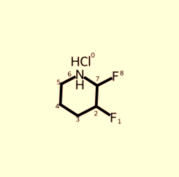 Cl.FC1CCCNC1F